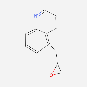 c1cc(CC2CO2)c2cccnc2c1